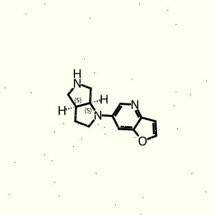 c1cc2ncc(N3CC[C@H]4CNC[C@H]43)cc2o1